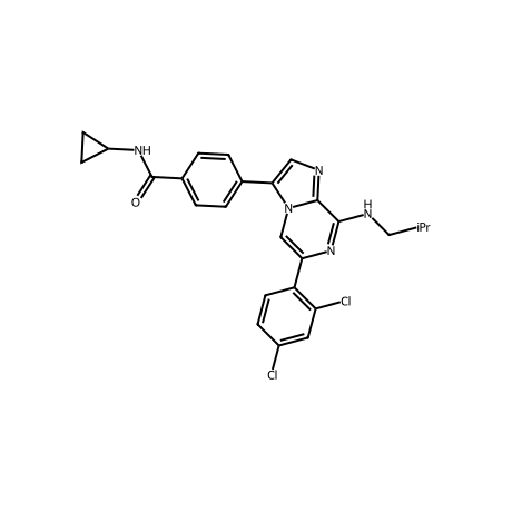 CC(C)CNc1nc(-c2ccc(Cl)cc2Cl)cn2c(-c3ccc(C(=O)NC4CC4)cc3)cnc12